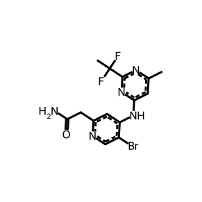 Cc1cc(Nc2cc(CC(N)=O)ncc2Br)nc(C(C)(F)F)n1